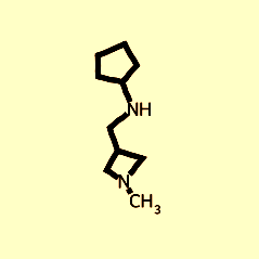 CN1CC(CNC2CCCC2)C1